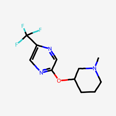 CN1CCCC(Oc2cnc(C(F)(F)F)cn2)C1